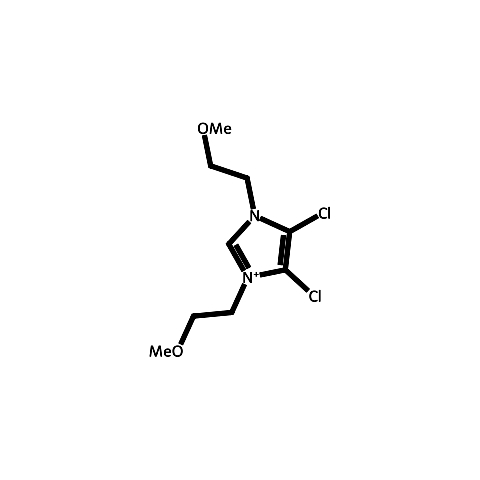 COCCn1c[n+](CCOC)c(Cl)c1Cl